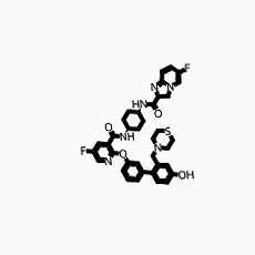 O=C(N[C@H]1CC[C@@H](NC(=O)C2CN3C=C(F)C=CC3=N2)CC1)c1cc(F)cnc1Oc1cccc(-c2ccc(O)cc2CN2CCSCC2)c1